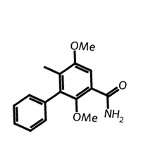 COc1cc(C(N)=O)c(OC)c(-c2ccccc2)c1C